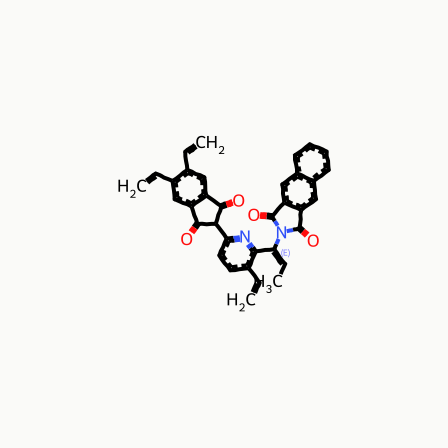 C=Cc1cc2c(cc1C=C)C(=O)C(c1ccc(C=C)c(/C(=C\C)N3C(=O)c4cc5ccccc5cc4C3=O)n1)C2=O